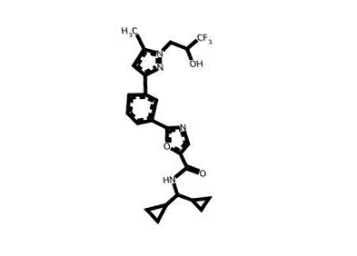 Cc1cc(-c2cccc(-c3ncc(C(=O)NC(C4CC4)C4CC4)o3)c2)nn1CC(O)C(F)(F)F